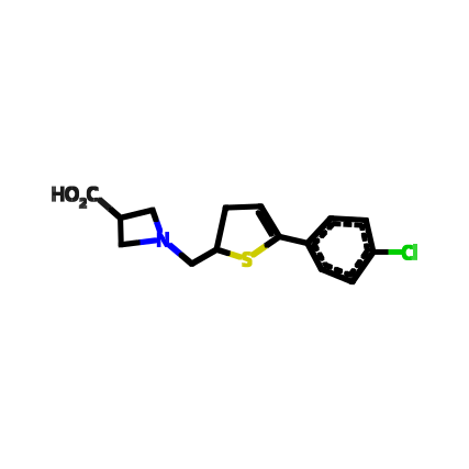 O=C(O)C1CN(CC2CC=C(c3ccc(Cl)cc3)S2)C1